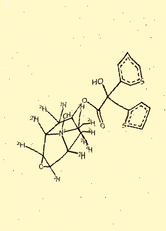 [2H]C1([2H])C(OC(=O)C(O)(c2cccs2)c2cccs2)C([2H])([2H])C2([2H])C3([2H])OC3([2H])C1([2H])[N+]2(C)C([2H])([2H])[2H]